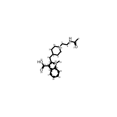 CC(=O)NCCN1CCC(Cc2c(C(=O)O)c3ccccc3n2C)CC1